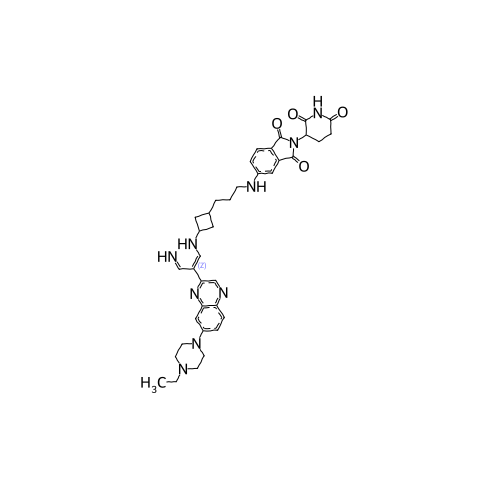 CCN1CCN(c2ccc3ncc(/C(C=N)=C/NC4CC(CCCNc5ccc6c(c5)C(=O)N(C5CCC(=O)NC5=O)C6=O)C4)nc3c2)CC1